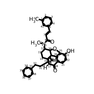 Cc1cccc(/C=C/C(=O)N(C)C2CC[C@@]3(O)[C@H]4C(=O)c5ccc(O)c6c5[C@@]3(CCN4CCc3ccccc3)C2O6)c1